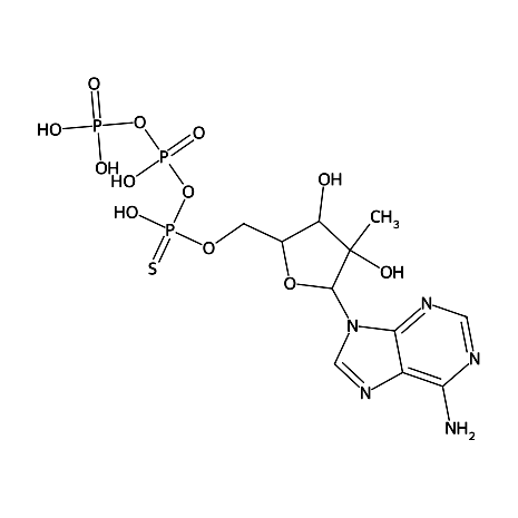 CC1(O)C(O)C(COP(O)(=S)OP(=O)(O)OP(=O)(O)O)OC1n1cnc2c(N)ncnc21